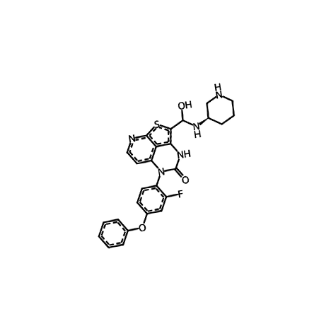 O=C1Nc2c(C(O)N[C@@H]3CCCNC3)sc3nccc(c23)N1c1ccc(Oc2ccccc2)cc1F